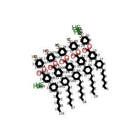 CCCCCCC[C@H]1CC[C@H](c2ccc(C(=O)Oc3ccc([S])cc3)cc2)CC1.CCCCCCC[C@H]1CC[C@H](c2ccc(C(=O)Oc3ccc([S])cc3)cc2)CC1.CCCCCCC[C@H]1CC[C@H](c2ccc(C(=O)Oc3ccc([S])cc3)cc2)CC1.CCCCCCC[C@H]1CC[C@H](c2ccc(C(=O)Oc3ccc([S])cc3)cc2)CC1.CCCCCCC[C@H]1CC[C@H](c2ccc(C(=O)Oc3ccc([S])cc3)cc2)CC1.F.F.F.F.F